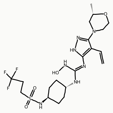 C=Cc1c(N2CCO[C@@H](C)C2)n[nH]c1/N=C(\NO)N[C@H]1CC[C@H](NS(=O)(=O)CCC(F)(F)F)CC1